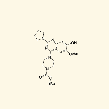 COc1cc2c(N3CCN(C(=O)OC(C)(C)C)CC3)nc(N3CCCC3)nc2cc1O